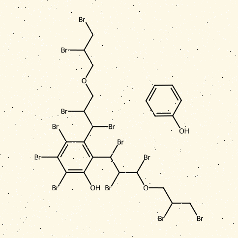 Oc1c(Br)c(Br)c(Br)c(C(Br)C(Br)COCC(Br)CBr)c1C(Br)C(Br)C(Br)OCC(Br)CBr.Oc1ccccc1